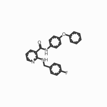 O=C(Nc1ccc(Oc2ccccc2)cc1)c1cccnc1NCc1ccc(F)cc1